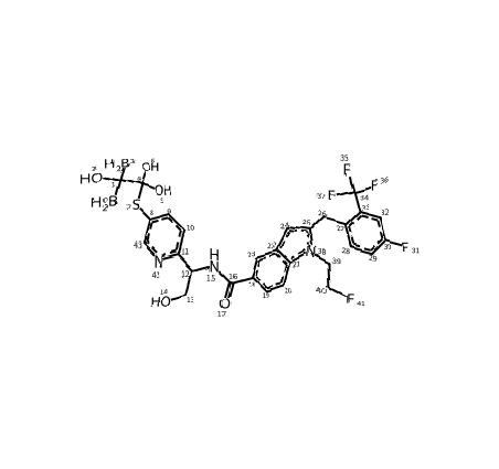 BC(B)(O)C(O)(O)Sc1ccc(C(CO)NC(=O)c2ccc3c(c2)cc(Cc2ccc(F)cc2C(F)(F)F)n3CCF)nc1